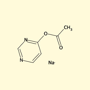 CC(=O)Oc1ccncn1.[Na]